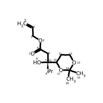 C=CCOC(=O)C[C@](O)(C(C)C)C1CCOC(C)(C)O1